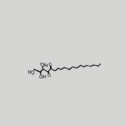 CCCCCCCCCCCCCCC(=O)C(=O)C(O)C(O)CO